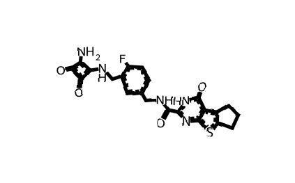 Nc1c(NCc2cc(CNC(=O)c3nc4sc5c(c4c(=O)[nH]3)CCC5)ccc2F)c(=O)c1=O